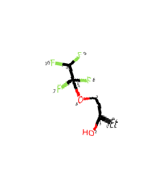 CCC(O)COC(F)(F)C(F)F